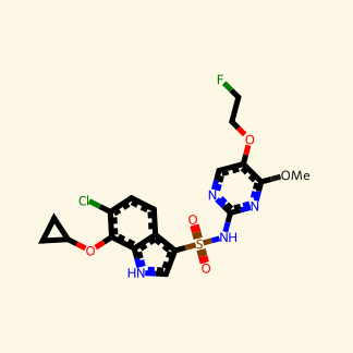 COc1nc(NS(=O)(=O)c2c[nH]c3c(OC4CC4)c(Cl)ccc23)ncc1OCCF